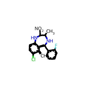 C=c1c(Cl)ccc2c1=C(c1ccccc1F)NC(C)C([N+](=O)[O-])N2